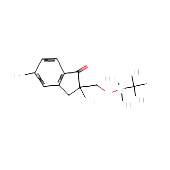 Cc1ccc2c(c1)CC(C)(CO[Si](C)(C)C(C)(C)C)C2=O